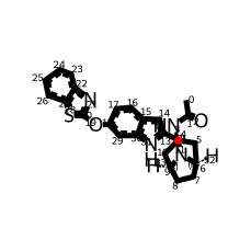 CC(=O)N[C@H]1C[C@H]2CC[C@@H](C1)N2Cc1cc2ccc(Oc3nc4ccccc4s3)cc2[nH]1